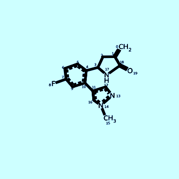 C=C1CC(c2ccc(F)cc2-c2cnn(C)c2)NC1=O